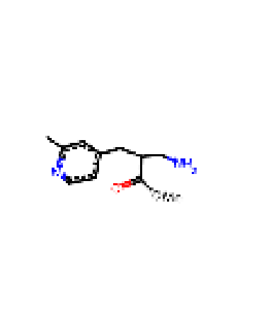 COC(=O)C(CN)Cc1ccnc(C)c1